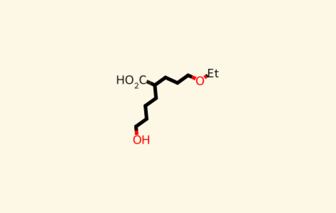 CCOCCCC(CCCCO)C(=O)O